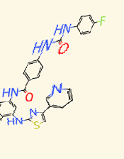 Cc1ccc(NC(=O)c2ccc(NC(=O)Nc3ccc(F)cc3)cc2)cc1Nc1nc(-c2cccnc2)cs1